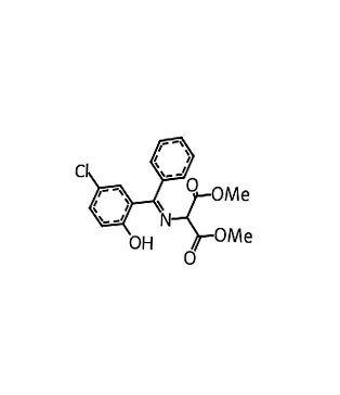 COC(=O)C(N=C(c1ccccc1)c1cc(Cl)ccc1O)C(=O)OC